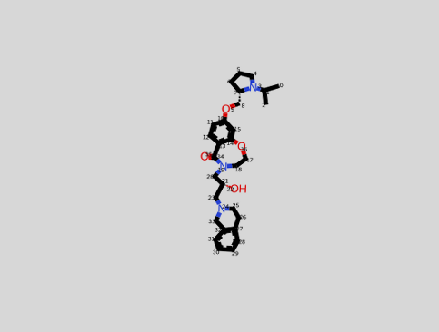 CC(C)N1CCC[C@H]1COc1ccc2c(c1)OCCN(C[C@H](O)CN1CCc3ccccc3C1)C2=O